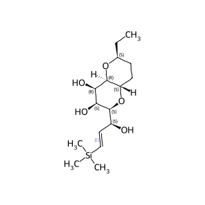 CC[C@H]1CC[C@@H]2O[C@@H]([C@@H](O)/C=C/[Si](C)(C)C)[C@@H](O)[C@@H](O)[C@H]2O1